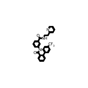 O=C(NCCc1ccccn1)c1cccc(NC(=O)c2ccccc2-c2ccc(C(F)(F)F)cc2)c1